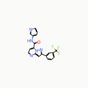 O=C(Nc1cccnc1)c1ccnc2cc(-c3cccc(C(F)(F)F)c3)nn12